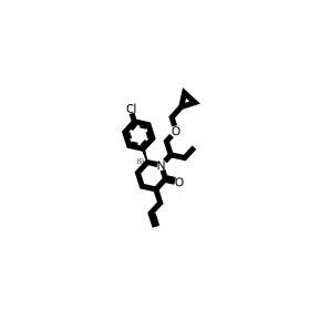 C=CCC1CC[C@@H](c2ccc(Cl)cc2)N(C(CC)COCC2CC2)C1=O